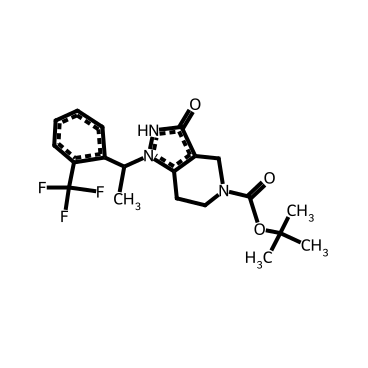 CC(c1ccccc1C(F)(F)F)n1[nH]c(=O)c2c1CCN(C(=O)OC(C)(C)C)C2